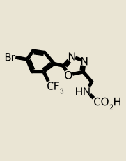 O=C(O)NCc1nnc(-c2ccc(Br)cc2C(F)(F)F)o1